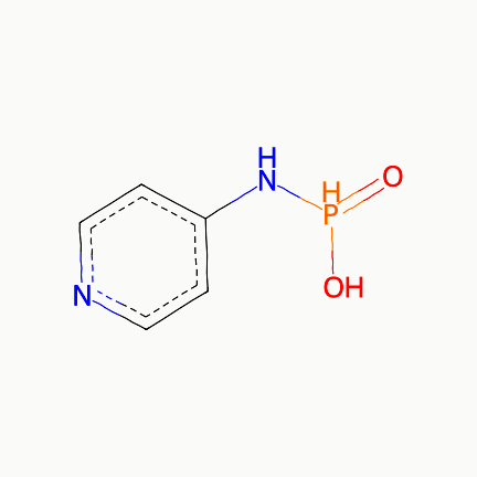 O=[PH](O)Nc1ccncc1